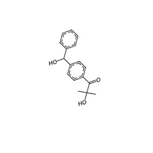 CC(C)(O)C(=O)c1ccc(C(O)c2ccccc2)cc1